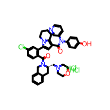 Cl.Cl.O=C(c1cc(-c2cc(Cl)ccc2C(=O)N2Cc3ccccc3C[C@H]2CN2CCOCC2)n2c1CCCC2)N(c1ccc(O)cc1)c1cccnc1